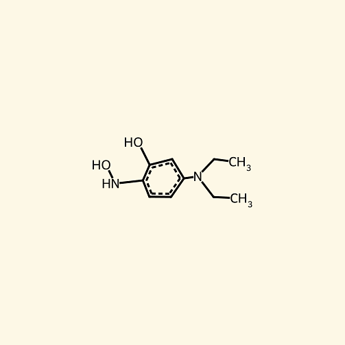 CCN(CC)c1ccc(NO)c(O)c1